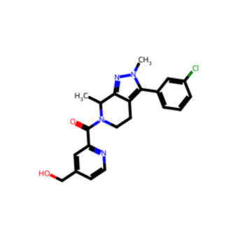 CC1c2nn(C)c(-c3cccc(Cl)c3)c2CCN1C(=O)c1cc(CO)ccn1